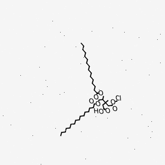 CCCCCCCCCCCCCCCC(=O)OC(OC(=O)CCCCCCCCCCCCCCC)C(C)C(C)(CC(=O)O)CC(=O)OCCl